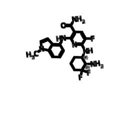 Cn1ccc2c(Nc3nc(N[C@@H]4CCCC(F)(F)[C@@H]4N)c(F)cc3C(N)=O)cccc21